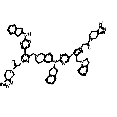 O=C(Cn1cc(-c2cnc(NC3Cc4ccccc4C3)nc2)c(CN2CCc3cc(N(c4ncc(-c5cn(CC(=O)N6CCc7[nH]nnc7C6)nc5CN5CCc6ccccc65)cn4)C4Cc5ccccc5C4)ccc3C2)n1)N1CCc2[nH]nnc2C1